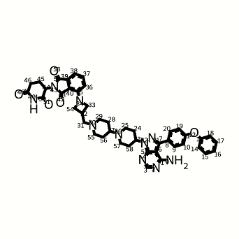 Nc1ncnc2c1c(-c1ccc(Oc3ccccc3)cc1)nn2C1CCN(C2CCN(CC3CN(c4cccc5c4C(=O)N(C4CCC(=O)NC4=O)C5=O)C3)CC2)CC1